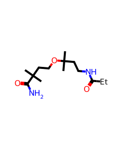 CCC(=O)NCCC(C)(C)OCCC(C)(C)C(N)=O